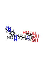 O=Nc1cc(-n2ccnn2)ccc1NCCCCCCN1C[C@H](O)[C@@H](O)[C@H](O)[C@H]1CO